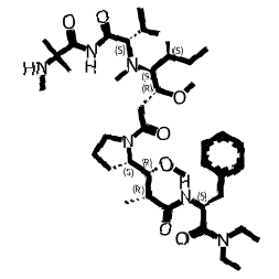 CC[C@H](C)[C@@H]([C@@H](CC(=O)N1CCC[C@H]1[C@H](OC)[C@@H](C)C(=O)N[C@@H](Cc1ccccc1)C(=O)N(CC)CC)OC)N(C)[C@H](C(=O)NC(=O)C(C)(C)NC)C(C)C